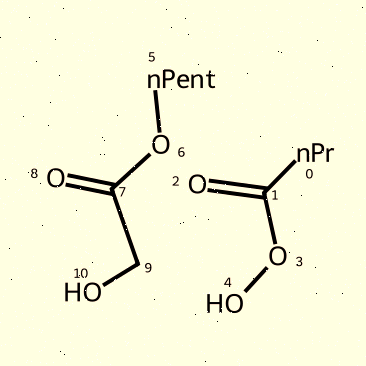 CCCC(=O)OO.CCCCCOC(=O)CO